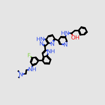 CN(C)CCNc1cc(F)cc(-c2cccc3[nH]c(-c4n[nH]c5ccc(-c6cncc(NC(O)Cc7ccccc7)c6)nc45)cc23)c1